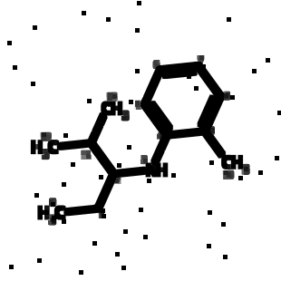 CCC(Nc1ccccc1C)C(C)C